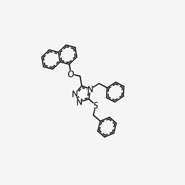 c1ccc(CSc2nnc(COc3cccc4ccccc34)n2Cc2ccccc2)cc1